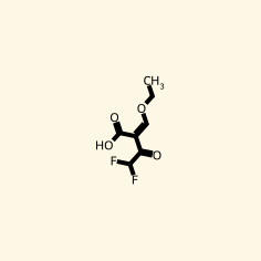 CCOC=C(C(=O)O)C(=O)C(F)F